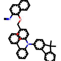 C=Nc1ccc2ccccc2c1OCc1ccc(N(c2ccc3c(c2)-c2ccccc2C3(C)C)c2ccccc2-c2ccccc2)cc1